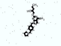 CCCC(O)COc1nc(N)c2cnn(Cc3ccc(CN4CCCC4)cc3)c2n1